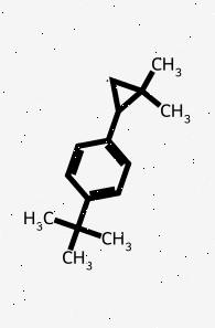 CC(C)(C)c1ccc(C2[CH]C2(C)C)cc1